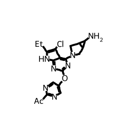 CCc1[nH]c2nc(Oc3cnc(C(C)=O)nc3)nc(N3CC4C(N)C4C3)c2c1Cl